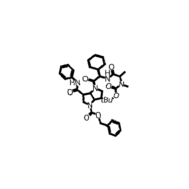 CC(C(=O)NC(C(=O)N1CCC2C1C(C(=O)Nc1ccccc1)CN2C(=O)OCc1ccccc1)C1CCCCC1)N(C)C(=O)OC(C)(C)C